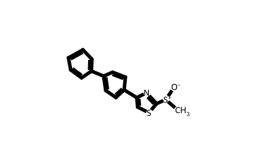 C[S+]([O-])c1nc(-c2ccc(-c3ccccc3)cc2)cs1